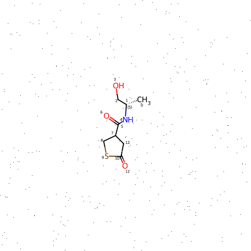 C[C@@H](CO)NC(=O)C1CSC(=O)C1